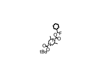 CC1CN(C(=O)OC(C)(C)C)CC(C)N1C(=O)OC(F)c1ccccc1